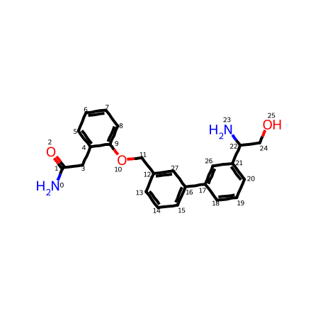 NC(=O)Cc1ccccc1OCc1cccc(-c2cccc(C(N)CO)c2)c1